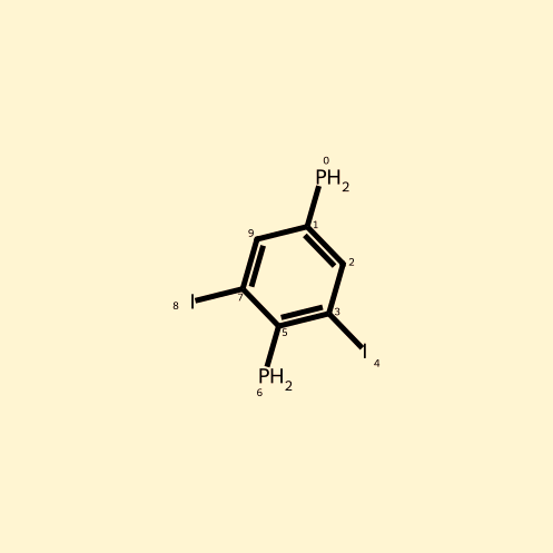 Pc1cc(I)c(P)c(I)c1